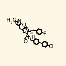 Cn1cc(Cc2cn(C(C=O)NCc3ccc(-c4ccc(Cl)cc4)cc3)c(SCc3ccc(F)cc3)nc2=O)cn1